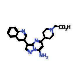 Nc1cc(C2CCN(CC(=O)O)CC2)nc2c(-c3cnc4ccccc4c3)cnn12